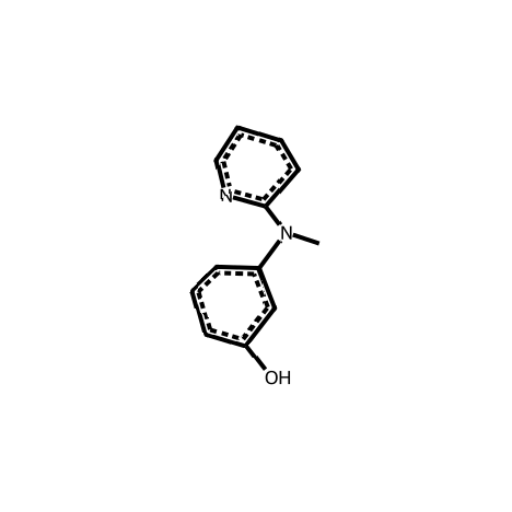 CN(c1cccc(O)c1)c1ccccn1